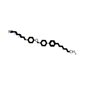 CCCCCCCc1ccc([C@H]2CC[C@H](CO[C@H]3CC[C@H](CC/C=C/C=C/C#N)CC3)CC2)cc1